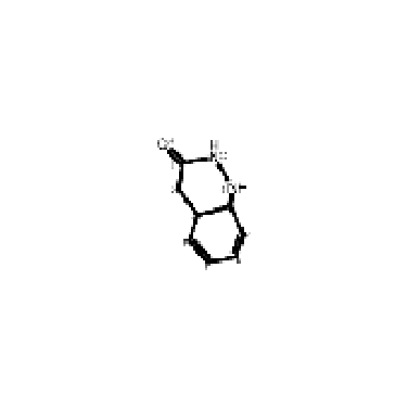 O=C1CC2C=CC=CC2NN1